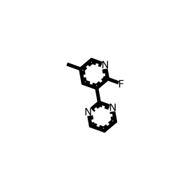 Cc1cnc(F)c(-c2ncccn2)c1